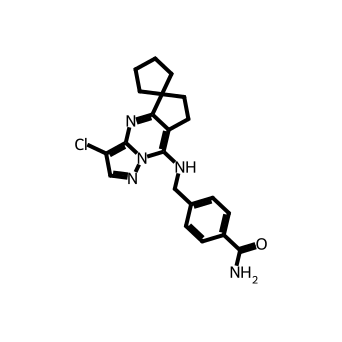 NC(=O)c1ccc(CNc2c3c(nc4c(Cl)cnn24)C2(CCCC2)CC3)cc1